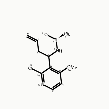 C=CCC(N[S@@+]([O-])C(C)(C)C)c1c(OC)ccnc1Cl